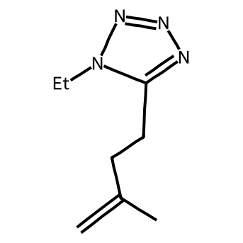 C=C(C)CCc1nnnn1CC